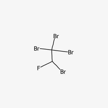 FC(Br)C(Br)(Br)Br